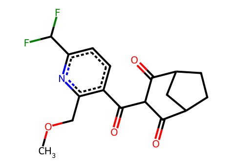 COCc1nc(C(F)F)ccc1C(=O)C1C(=O)C2CCC(C2)C1=O